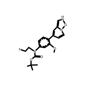 COc1cc(N(CCF)C(=O)OC(C)(C)C)ccc1C1=CC2=CNON2C=C1